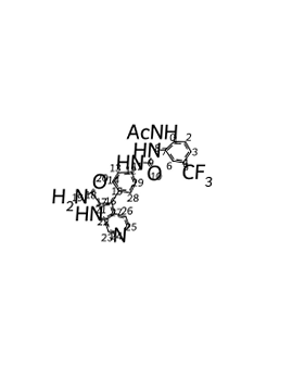 CC(=O)Nc1ccc(C(F)(F)F)cc1NC(=O)Nc1ccc(-c2c(C(N)=O)[nH]c3cnccc23)cc1